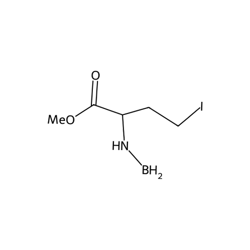 BNC(CCI)C(=O)OC